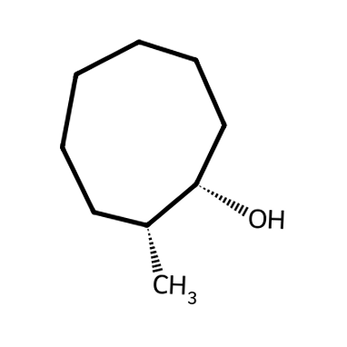 C[C@@H]1CCCCCC[C@@H]1O